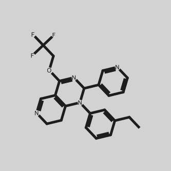 CCc1cccc(N2C3=C(C=NCC3)C(OCC(F)(F)F)=NC2c2cccnc2)c1